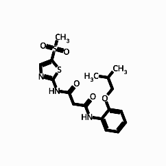 CC(C)COc1ccccc1NC(=O)CC(=O)Nc1ncc(S(C)(=O)=O)s1